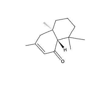 CC1=CC(=O)[C@H]2C(C)(C)CCC[C@]2(C)C1